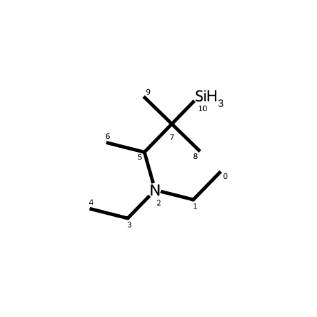 CCN(CC)C(C)C(C)(C)[SiH3]